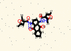 Cc1cc(C(=O)Nc2ccc(NC(=O)c3cc(C)oc3C)c3c2C(=O)c2ccccc2C3=O)c(C)o1